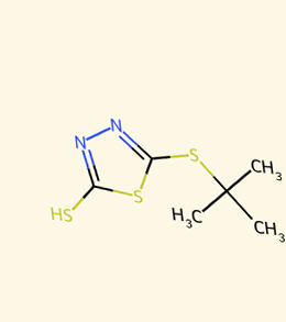 CC(C)(C)Sc1nnc(S)s1